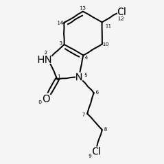 O=c1[nH]c2c(n1CCCCl)CC(Cl)C=C2